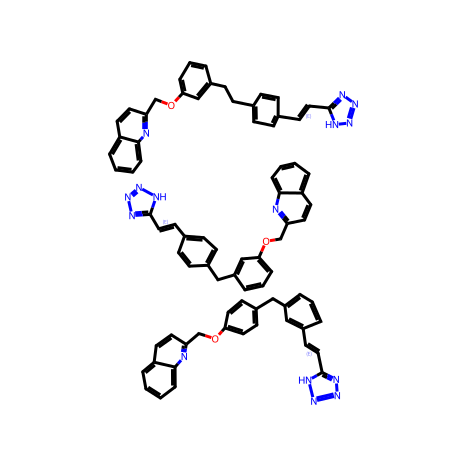 C(=C\c1nnn[nH]1)/c1ccc(CCc2cccc(OCc3ccc4ccccc4n3)c2)cc1.C(=C\c1nnn[nH]1)/c1ccc(Cc2cccc(OCc3ccc4ccccc4n3)c2)cc1.C(=C\c1nnn[nH]1)/c1cccc(Cc2ccc(OCc3ccc4ccccc4n3)cc2)c1